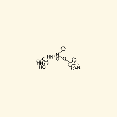 CN1CCC(c2ccccc2)(c2cc(CCOCCC(=O)N(CCNCCc3ccc(O)c4c3OCC(=O)N4)CCc3ccccc3)ccc2O)CC1